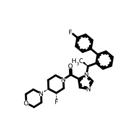 C[C@@H](c1ccccc1-c1ccc(F)cc1)n1cncc1C(=O)N1CC[C@@H](N2CCOCC2)[C@@H](F)C1